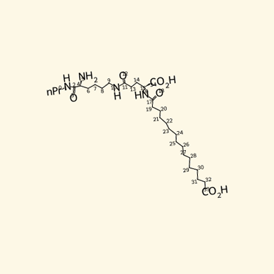 CCCNC(=O)[C@@H](N)CCCCNC(=O)CC[C@H](NC(=O)CCCCCCCCCCCCCCC(=O)O)C(=O)O